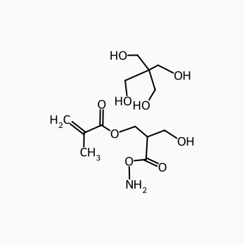 C=C(C)C(=O)OCC(CO)C(=O)ON.OCC(CO)(CO)CO